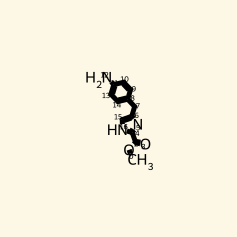 COC(=O)c1nc(Cc2ccc(N)cc2)c[nH]1